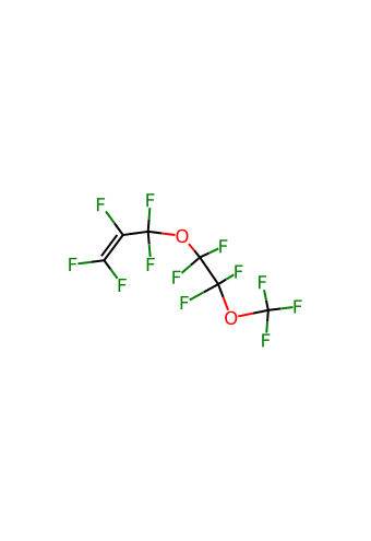 FC(F)=C(F)C(F)(F)OC(F)(F)C(F)(F)OC(F)(F)F